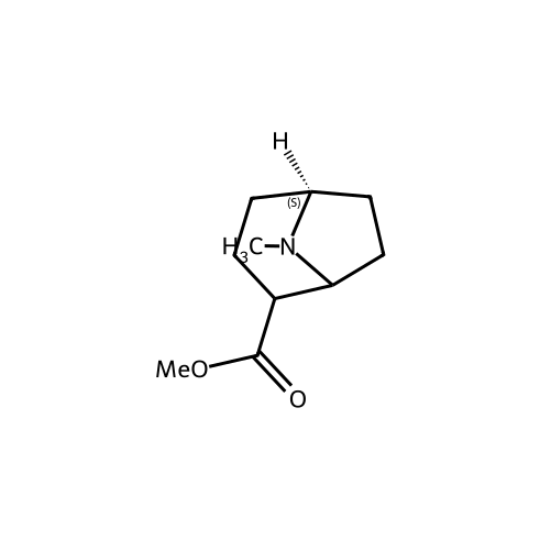 COC(=O)C1CC[C@H]2CCC1N2C